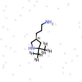 [2H]C([2H])([2H])C1(C([2H])([2H])[2H])C[C@H](CCCN)CN1